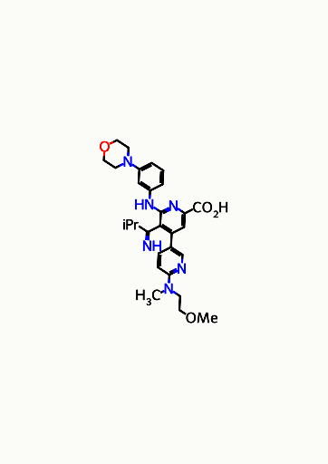 COCCN(C)c1ccc(-c2cc(C(=O)O)nc(Nc3cccc(N4CCOCC4)c3)c2C(=N)C(C)C)cn1